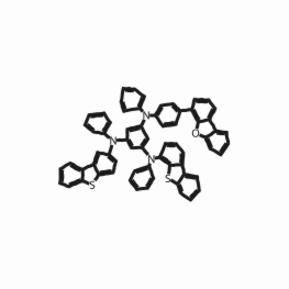 c1ccc(N(c2ccc(-c3cccc4c3oc3ccccc34)cc2)c2cc(N(c3ccccc3)c3ccc4sc5ccccc5c4c3)cc(N(c3ccccc3)c3cccc4c3sc3ccccc34)c2)cc1